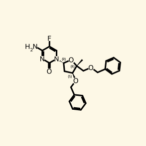 C[C@]1(COCc2ccccc2)O[C@@H](n2cc(F)c(N)nc2=O)C[C@@H]1OCc1ccccc1